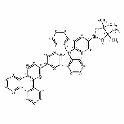 CC1(C)OB(c2ccc([Si](c3ccccc3)(c3ccccc3)c3ccc(-c4cnc(-c5ccccc5)c(-c5ccccc5)n4)cc3)cc2)OC1(C)C